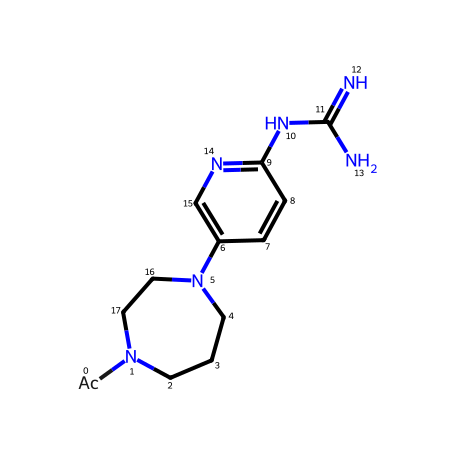 CC(=O)N1CCCN(c2ccc(NC(=N)N)nc2)CC1